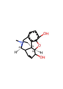 CN1CC[C@]23c4c5ccc(O)c4O[C@H]2C(O)C=CC3[C@H]1C5